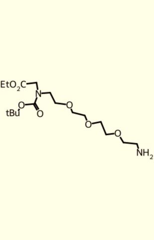 CCOC(=O)CN(CCOCCOCCOCCN)C(=O)OC(C)(C)C